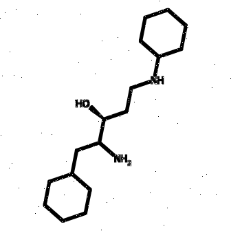 NC(CC1CCCCC1)[C@@H](O)CCNC1CCCCC1